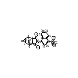 O=C1C2C3C=CC(C4CC34)C2C(=O)N1c1ccc([N+](=O)[O-])c2ccccc12